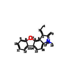 C=c1/c(=C\C)c2c3oc4ccccc4c3ccc2n1C